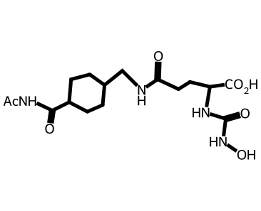 CC(=O)NC(=O)C1CCC(CNC(=O)CCC(NC(=O)NO)C(=O)O)CC1